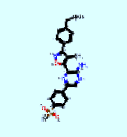 Bc1c(-c2ccc(CNC)cc2)noc1-c1nc(-c2ccc(S(=O)(=O)C(C)C)cc2)cnc1N